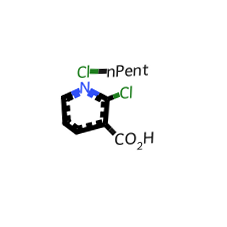 CCCCCCl.O=C(O)c1cccnc1Cl